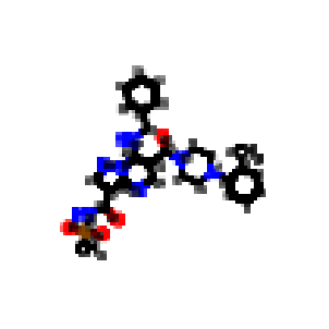 Cc1ccccc1N1CCN(C(=O)c2cnc3c(C(=O)NS(C)(=O)=O)cnn3c2NCc2ccccc2)CC1